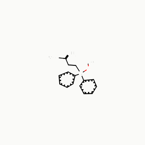 C=C(CC[Si](OC(C)(C)C)(c1ccccc1)c1ccccc1)OC